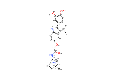 COc1ccc(-c2[nH]c3ccc(OCC(=O)NC4CC[C@H]5CCC4N5C)cc3c2C(C)C)cc1OC